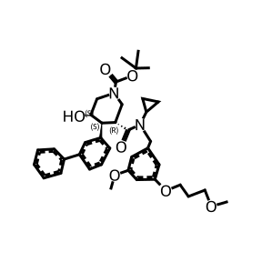 COCCCOc1cc(CN(C(=O)[C@H]2CN(C(=O)OC(C)(C)C)C[C@@H](O)[C@@H]2c2cccc(-c3ccccc3)c2)C2CC2)cc(OC)c1